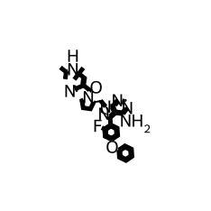 CC(C)NC(C)(C)C=C(C#N)C(=O)N1CCC[C@@H]1Cn1nc(-c2ccc(Oc3ccccc3)cc2F)c2c(N)ncnc21